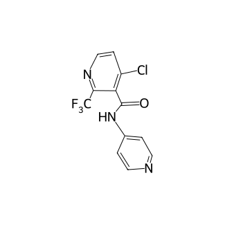 O=C(Nc1ccncc1)c1c(Cl)ccnc1C(F)(F)F